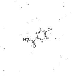 CC(=O)c1ccc([O])nc1